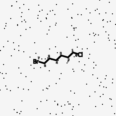 ClCCC[CH]CCBr